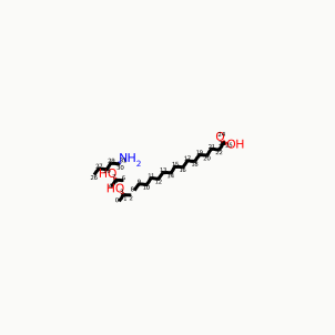 CC(C)O.CC(C)O.CCCCCCCCCCCCCCCC(=O)O.CCCCCN